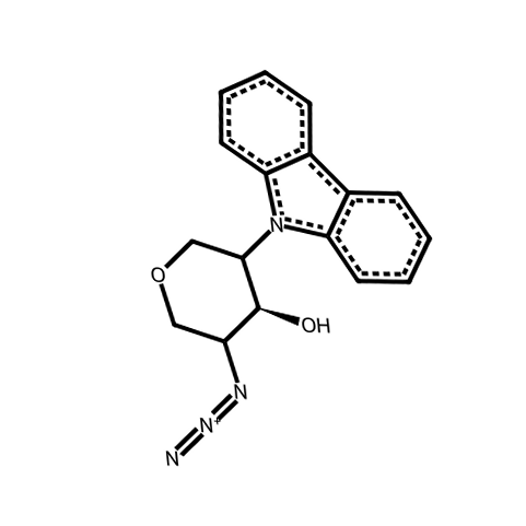 [N-]=[N+]=NC1COCC(n2c3ccccc3c3ccccc32)[C@H]1O